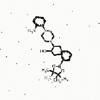 CC1(C)OB(c2cccc3c2CC(O)C(N2CCN(c4ccccc4N)CC2)C3)OC1(C)C